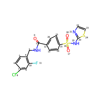 O=C(NCc1ccc(Cl)cc1F)c1ccc(S(=O)(=O)Nc2nccs2)cc1